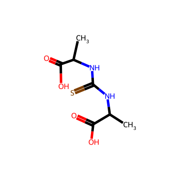 CC(NC(=S)NC(C)C(=O)O)C(=O)O